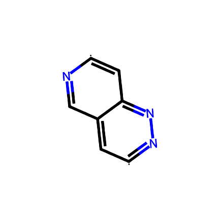 [c]1cc2nn[c]cc2cn1